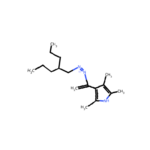 C=C(/N=N\CC(CCC)CCC)c1c(C)[nH]c(C)c1C